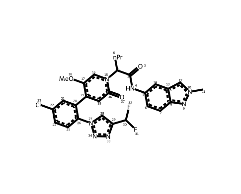 CCCC(C(=O)Nc1ccc2nn(C)cc2c1)n1cc(OC)c(-c2cc(Cl)ccc2-n2cc(C(F)F)nn2)cc1=O